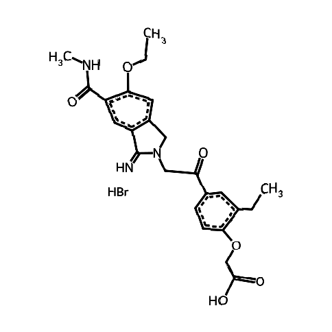 Br.CCOc1cc2c(cc1C(=O)NC)C(=N)N(CC(=O)c1ccc(OCC(=O)O)c(CC)c1)C2